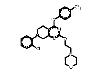 FC(F)(F)c1ccc(Nc2nc(OCCN3CCOCC3)nc3c2CCN(c2ccccc2Cl)C3)cc1